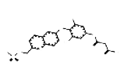 CS(=O)(=O)[AsH]Cc1ccc2cc(Oc3c(Br)cc(NC(=O)CC(=O)O)cc3Br)ccc2n1